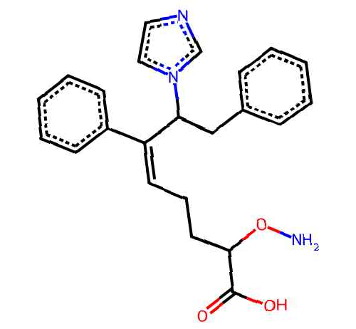 NOC(CCC=C(c1ccccc1)C(Cc1ccccc1)n1ccnc1)C(=O)O